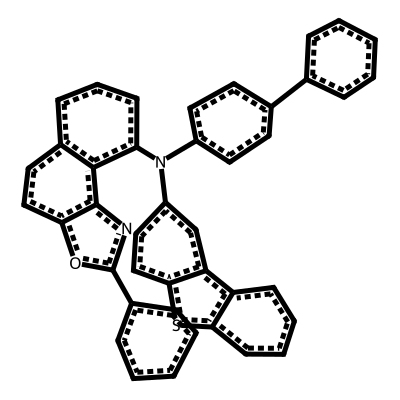 c1ccc(-c2ccc(N(c3ccc4sc5ccccc5c4c3)c3cccc4ccc5oc(-c6ccccc6)nc5c34)cc2)cc1